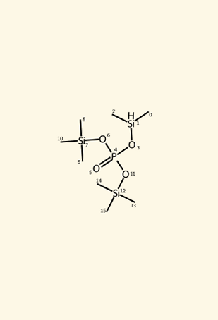 C[SiH](C)OP(=O)(O[Si](C)(C)C)O[Si](C)(C)C